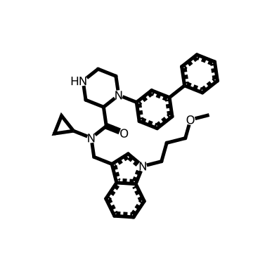 COCCCn1cc(CN(C(=O)C2CNCCN2c2cccc(-c3ccccc3)c2)C2CC2)c2ccccc21